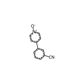 N#Cc1cccc(-c2cc[n+]([O-])cc2)c1